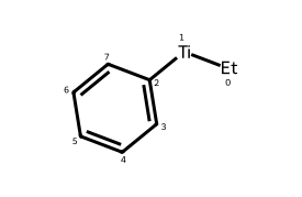 C[CH2][Ti][c]1ccccc1